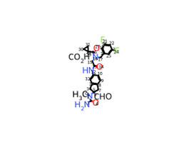 CN(C(N)=O)C1(C=O)Cc2ccc(NC(=O)CN(Cc3cc(F)cc(F)c3)C(=O)C3(C(=O)O)CC3)cc2C1